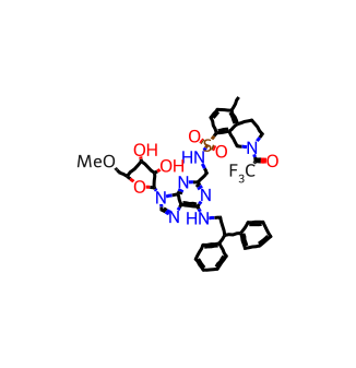 COCC1OC(n2cnc3c(NCC(c4ccccc4)c4ccccc4)nc(CNS(=O)(=O)c4ccc(C)c5c4CN(C(=O)C(F)(F)F)CC5)nc32)C(O)C1O